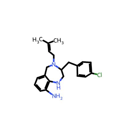 CC(C)=CCN1Cc2cccc(N)c2NCC1Cc1ccc(Cl)cc1